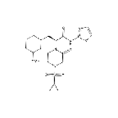 COC1CCCC(C[C@@H](C(=O)Nc2nccs2)N2CCN(S(=O)(=O)C3CC3)CC2=O)C1